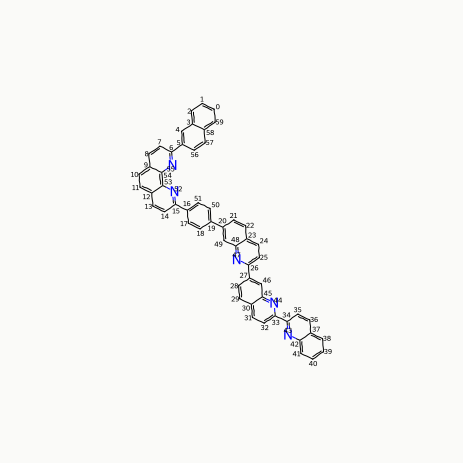 c1ccc2cc(-c3ccc4ccc5ccc(-c6ccc(-c7ccc8ccc(-c9ccc%10ccc(-c%11ccc%12ccccc%12n%11)nc%10c9)nc8c7)cc6)nc5c4n3)ccc2c1